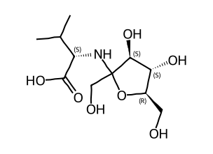 CC(C)[C@H](NC1(CO)O[C@H](CO)[C@@H](O)[C@@H]1O)C(=O)O